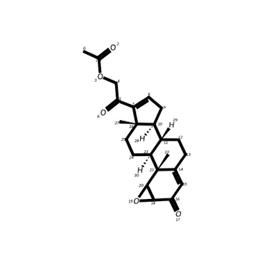 CC(=O)OCC(=O)C1=CC[C@H]2[C@@H]3CCC4=CC(=O)C5OC5[C@]4(C)[C@H]3CC[C@]12C